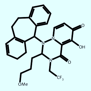 COCCCC1N(CC(F)(F)F)C(=O)c2c(O)c(=O)ccn2N1C1C2=C(C=CCC2)CCc2ccccc21